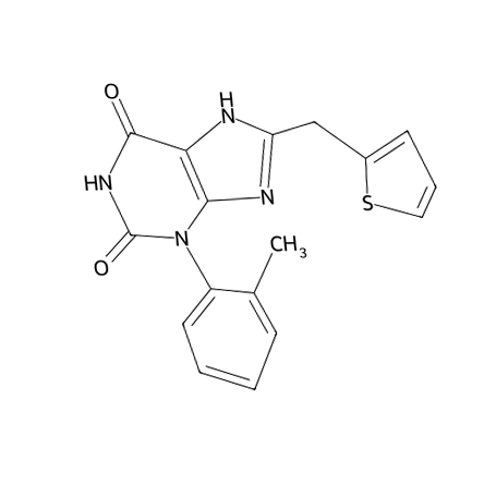 Cc1ccccc1-n1c(=O)[nH]c(=O)c2[nH]c(Cc3cccs3)nc21